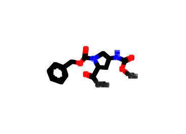 COC(=O)C1CC(NC(=O)OC(C)(C)C)CN1C(=O)OCc1ccccc1